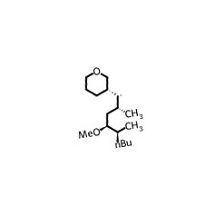 CCCC[C@H](C)[C@H](C[C@@H](C)[CH][C@@H]1CCCOC1)OC